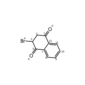 O=C1CC(Br)C(=O)c2ccccc21